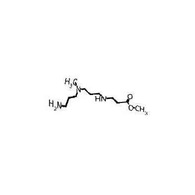 COC(=O)CCNCCCN(C)CCCN